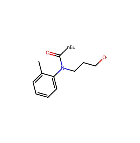 CCCCC(=O)N(CCC[O])c1ccccc1C